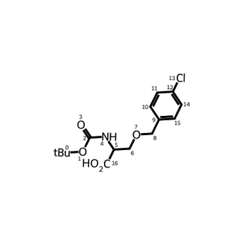 CC(C)(C)OC(=O)NC(COCc1ccc(Cl)cc1)C(=O)O